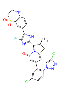 C[C@H]1Cc2cc(-c3cc(Cl)ccc3-n3cc(Cl)nn3)cc(=O)n2[C@@H]1c1nc(F)c(-c2ccc3c(c2)S(=O)(=O)CCN3)[nH]1